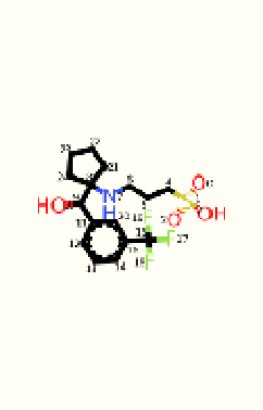 O=S(=O)(O)CCCNC1(C(O)c2cccc(C(F)(F)F)c2)CCCC1